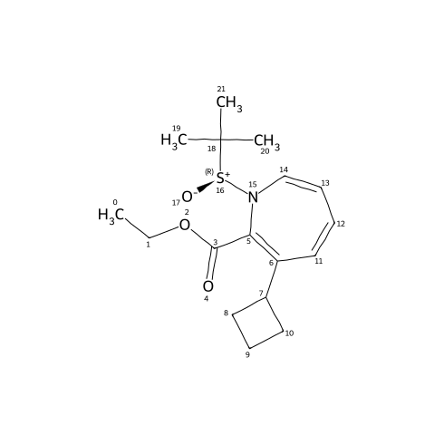 CCOC(=O)C1=C(C2CCC2)C=CC=CN1[S@@+]([O-])C(C)(C)C